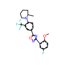 COc1ccc(F)cc1-c1noc(-c2ccc(N3CCCCC3C)c(C(F)(F)F)c2)n1